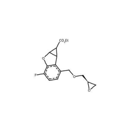 CCOC(=O)C1C2Oc3c(F)ccc(COC[C@H]4CO4)c3C21